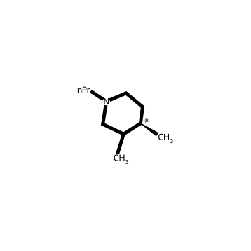 CCCN1CC[C@@H](C)C(C)C1